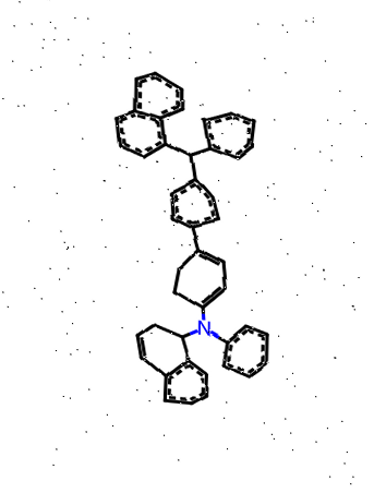 C1=Cc2ccccc2C(N(C2=CC=C(c3ccc(C(c4ccccc4)c4cccc5ccccc45)cc3)CC2)c2ccccc2)C1